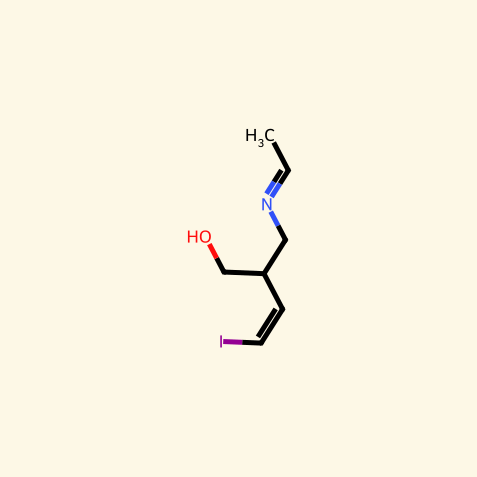 C/C=N/CC(/C=C\I)CO